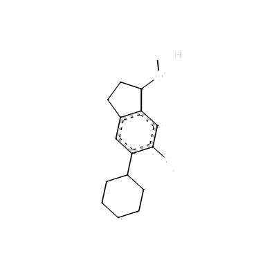 O=C(O)OC1CCc2cc(C3CCCCC3)c(Cl)cc21